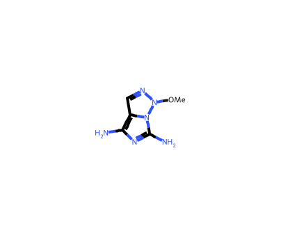 COn1ncc2c(N)nc(N)n21